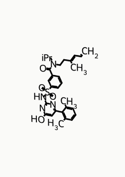 C=C/C=C(\C)CCN(C(=O)c1cccc(S(=O)(=O)Nc2nc(O)cc(-c3c(C)cccc3C)n2)c1)C(C)C